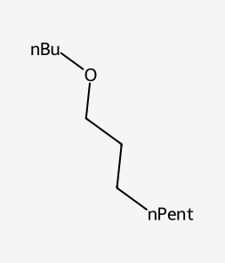 [CH2]CCCOCCCCCCCC